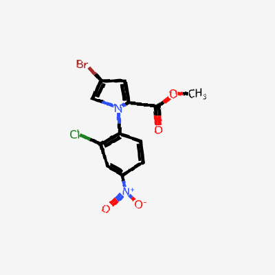 COC(=O)c1cc(Br)cn1-c1ccc([N+](=O)[O-])cc1Cl